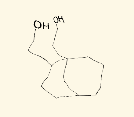 OCC1CCC2CCCC1(CO)C2